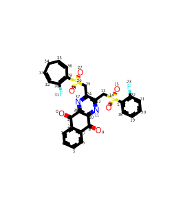 O=C1c2ccccc2C(=O)c2nc(CS(=O)(=O)c3ccccc3F)c(CS(=O)(=O)C3=C(F)C=CCC=C3)nc21